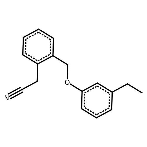 CCc1cccc(OCc2ccccc2CC#N)c1